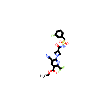 CCOC(=O)c1cc(C#N)c(N2CC(C(=O)NS(=O)(=O)Cc3cccc(F)c3)C2)nc1C(F)F